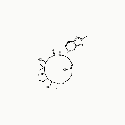 CC[C@H]1C(=O)C(C)(C)[C@@H](O)CC(=O)N[C@H](c2ccc3sc(C)nc3c2)C/C=C(\Cl)CCO[C@@H](C)[C@H]1O